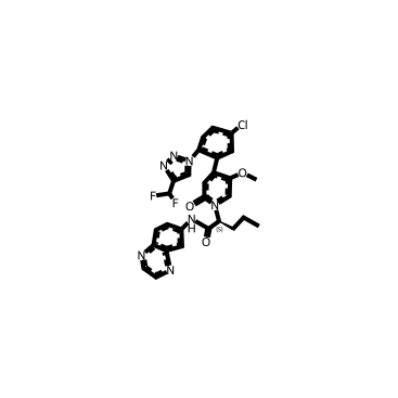 CCC[C@@H](C(=O)Nc1ccc2nccnc2c1)n1cc(OC)c(-c2cc(Cl)ccc2-n2cc(C(F)F)nn2)cc1=O